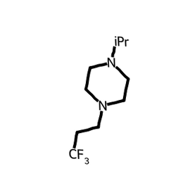 CC(C)N1CCN(CCC(F)(F)F)CC1